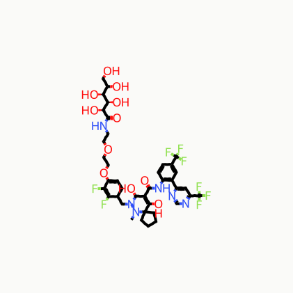 CN1N(CC2CC=C(OCCOCCNC(=O)[C@@H](O)[C@H](O)[C@@H](O)C(O)CO)C(F)=C2F)C(O)C(C(=O)Nc2ccc(C(F)(F)F)cc2-c2cc(C(F)(F)F)ncn2)=C(O)C12CCCC2